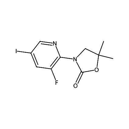 CC1(C)CN(c2ncc(I)cc2F)C(=O)O1